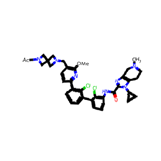 COc1nc(-c2cccc(-c3cccc(NC(=O)c4nc5c(n4C4CC4)CCN(C)C5)c3Cl)c2Cl)ccc1CN1CC2(C1)CN(C(C)=O)C2